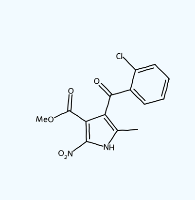 COC(=O)c1c([N+](=O)[O-])[nH]c(C)c1C(=O)c1ccccc1Cl